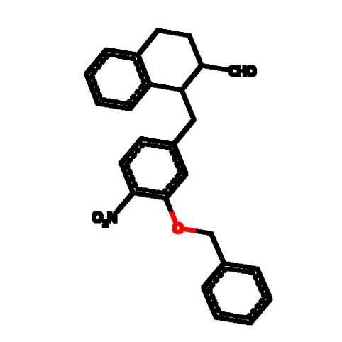 O=CC1CCc2ccccc2C1Cc1ccc([N+](=O)[O-])c(OCc2ccccc2)c1